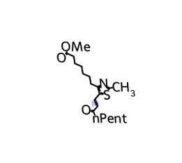 CCCCCC(=O)/C=C/c1sc(C)nc1CCCCCCC(=O)OC